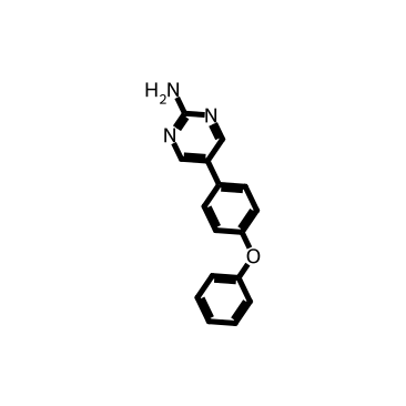 Nc1ncc(-c2ccc(Oc3ccccc3)cc2)cn1